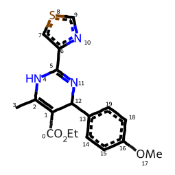 CCOC(=O)C1=C(C)NC(c2cscn2)=NC1c1ccc(OC)cc1